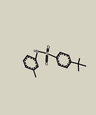 Cc1cccc(NS(=O)(=O)c2ccc(C(C)(C)C)cc2)c1